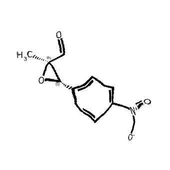 C[C@@]1(C=O)O[C@H]1c1ccc([N+](=O)[O-])cc1